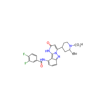 CC(C)(C)C1CC(c2cc(=O)[nH]c3c4c(NC(=O)c5ccc(F)c(F)c5)cccc4nn23)CCN1C(=O)O